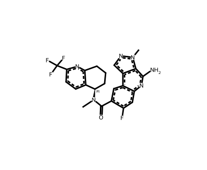 CN(C(=O)c1cc2c(cc1F)nc(N)c1c2cnn1C)[C@@H]1CCCc2nc(C(F)(F)F)ccc21